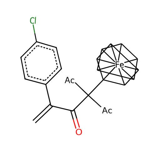 C=C(C(=O)C(C(C)=O)(C(C)=O)[C]12[CH]3[CH]4[CH]5[CH]1[Fe]45321678[CH]2[CH]1[CH]6[CH]7[CH]28)c1ccc(Cl)cc1